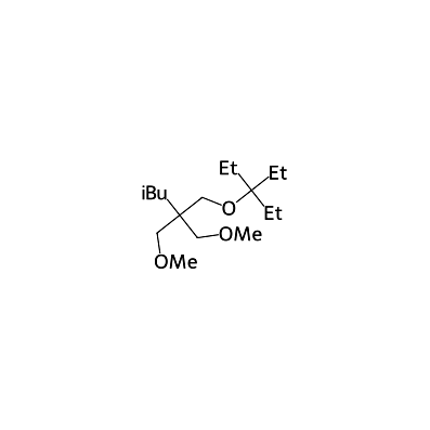 CCC(C)C(COC)(COC)COC(CC)(CC)CC